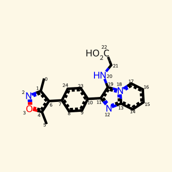 Cc1noc(C)c1-c1ccc(-c2nc3ccccn3c2NCC(=O)O)cc1